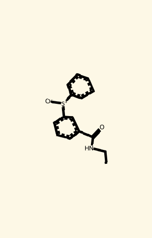 CCNC(=O)c1cccc([S+]([O-])c2ccccc2)c1